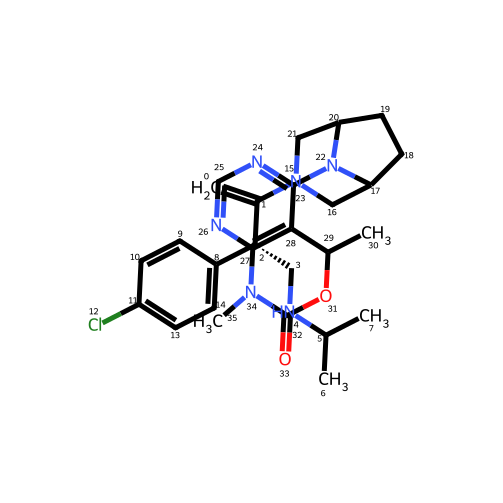 C=C([C@H](CNC(C)C)c1ccc(Cl)cc1)N1CC2CCC(C1)N2c1ncnc2c1C(C)OC(=O)N2C